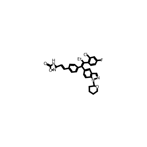 CCC(=C(c1ccc(C=Cc2noc(=O)[nH]2)cc1)c1ccc2c(cnn2C2CCCCO2)c1)c1ccc(F)cc1Cl